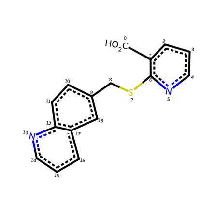 O=C(O)c1cccnc1SCc1ccc2ncccc2c1